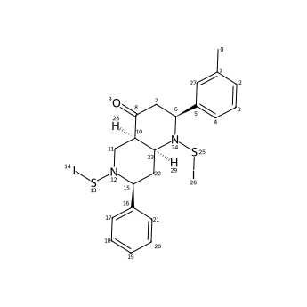 Cc1cccc([C@@H]2CC(=O)[C@@H]3CN(SI)[C@H](c4ccccc4)C[C@@H]3N2SI)c1